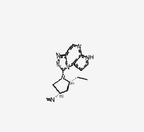 C=N[C@H]1C[C@@H](CC)N(c2nnc3cnc4[nH]ccc4n23)C1